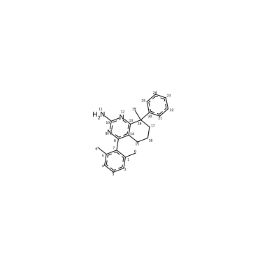 Cc1cccc(C)c1-c1nc(N)nc2c1CCCC2(C)c1ccccc1